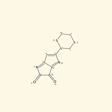 O=c1nc2cc(C3CSCCS3)nc-2c1=O